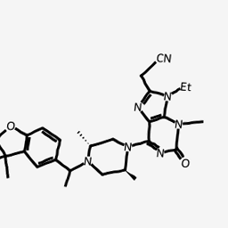 CCn1c(CC#N)nc2c(N3C[C@@H](C)N(C(C)c4ccc5c(c4)C(C)(C)CO5)C[C@@H]3C)nc(=O)n(C)c21